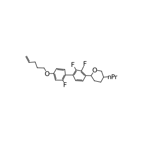 C=CCCCOc1ccc(-c2ccc(C3CCC(CCC)CO3)c(F)c2F)c(F)c1